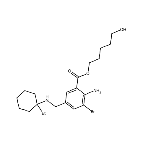 CCC1(NCc2cc(Br)c(N)c(C(=O)OCCCCCO)c2)CCCCC1